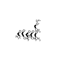 CC[O-].CC[O-].CC[O-].CC[O-].CC[O-].CC[O-].[U+6]